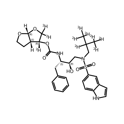 [2H]C([2H])([2H])C([2H])(CN(C[C@@H](O)[C@H](Cc1ccccc1)NC(=O)O[C@]1([2H])[C@@H]2CCO[C@@H]2OC1([2H])[2H])S(=O)(=O)c1ccc2[nH]ccc2c1)C([2H])([2H])[2H]